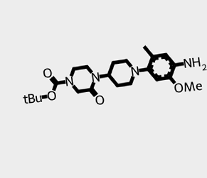 COc1cc(N2CCC(N3CCN(C(=O)OC(C)(C)C)CC3=O)CC2)c(C)cc1N